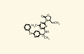 CCC1COC(=O)N1c1nc(C)nc(N[C@@H](C)c2ccc(Oc3ccccc3)nc2)n1